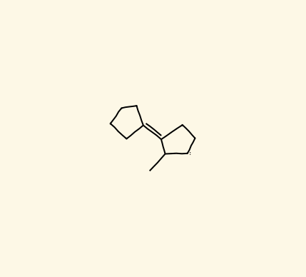 CC1[C]CCC1=C1CCCC1